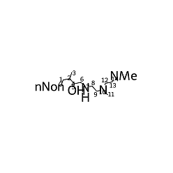 CCCCCCCCCCC(C)C(O)CNCCN(C)CCNC